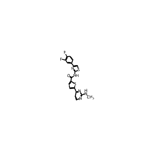 CNc1nccc(-c2ccc(C(=O)Nc3nc(-c4ccc(F)c(F)c4)cs3)s2)n1